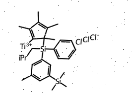 CC1=C(C)C(C)([Si](CC(C)C)(c2ccccc2)c2cc(C)cc([Si](C)(C)C)c2)[C]([Ti+3])=C1C.[Cl-].[Cl-].[Cl-]